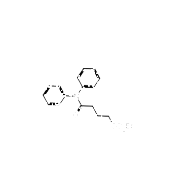 CCOC(=O)CCCC(=O)N(c1ccccc1)c1ccccc1